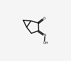 O=C1/C(=N/O)CC2CC12